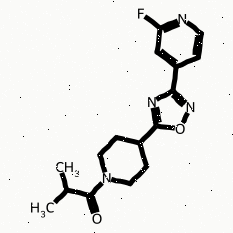 CC(C)C(=O)N1CCC(c2nc(-c3ccnc(F)c3)no2)CC1